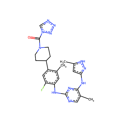 Cc1cc(Nc2nc(Nc3cc(C)c(C4CCN(C(=O)n5cnnn5)CC4)cc3F)ncc2C)n[nH]1